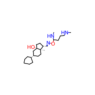 CNCCCC(NC)ON=C[C@H]1CC[C@]2(O)C[C@@H](C3CCCCC3)CC[C@]12C